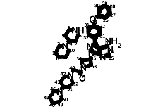 C1CCN(C2CCNCC2)CC1.Nc1ncnc2c1c(-c1ccc(Oc3ccccc3)cc1)nn2C1CN(C(=O)CN2CCC(N3CCCCC3)CC2)C1